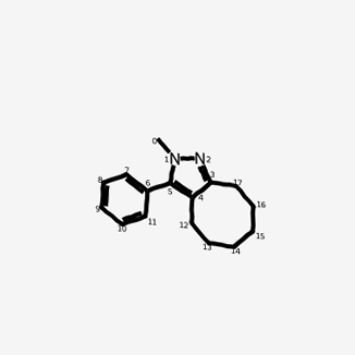 Cn1nc2c(c1-c1ccccc1)CCCCCC2